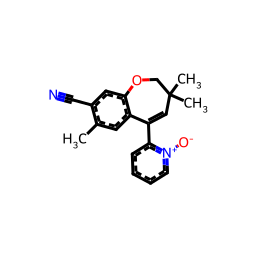 Cc1cc2c(cc1C#N)OCC(C)(C)C=C2c1cccc[n+]1[O-]